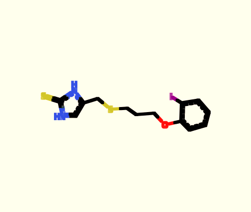 S=c1[nH]cc(CSCCCOc2ccccc2I)[nH]1